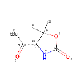 CC(C)(C)C(=O)[C@H]1NC(=O)OC1(C)C